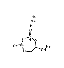 O=[PH]1OCC(O)O[PH](=O)O1.[Na].[Na].[Na].[Na]